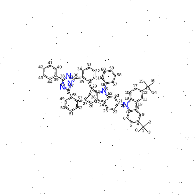 CC(C)(C)c1ccc2c(c1)c1cc(C(C)(C)C)ccc1n2-c1ccc2c3cc4cc(c5ccccc5c5nc(-c6ccccc6)nc(n5)c5ccccc45)c3n(-c3ccccc3)c2c1